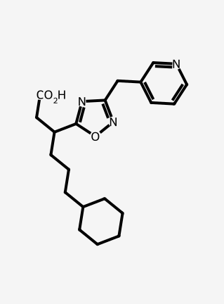 O=C(O)CC(CCCC1CCCCC1)c1nc(Cc2cccnc2)no1